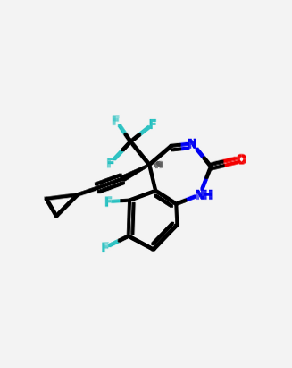 O=C1N=C[C@@](C#CC2CC2)(C(F)(F)F)c2c(ccc(F)c2F)N1